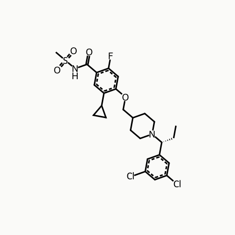 CC[C@H](c1cc(Cl)cc(Cl)c1)N1CCC(COc2cc(F)c(C(=O)NS(C)(=O)=O)cc2C2CC2)CC1